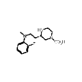 CN(CC[C@@H]1CN(C(=O)O)CCN1)c1ccccc1F